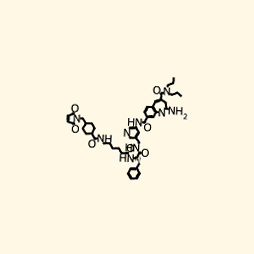 CCCN(CCC)C(=O)C1=Cc2ccc(C(=O)Nc3cncc(CNC(=O)[C@H](Cc4ccccc4)NC(=O)CCCCCNC(=O)C4CCC(CN5C(=O)C=CC5=O)CC4)c3)cc2N=C(N)C1